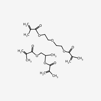 C=C(C)C(=O)OCC(C)OC(=O)C(=C)C.C=C(C)C(=O)OCCOCCOC(=O)C(=C)C